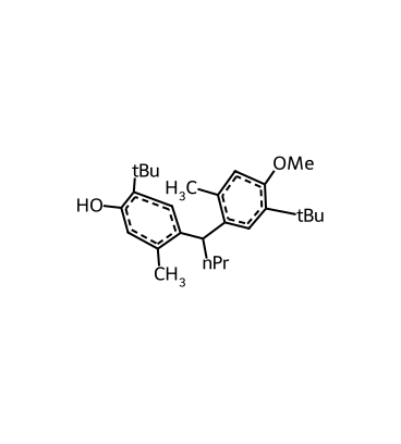 CCCC(c1cc(C(C)(C)C)c(O)cc1C)c1cc(C(C)(C)C)c(OC)cc1C